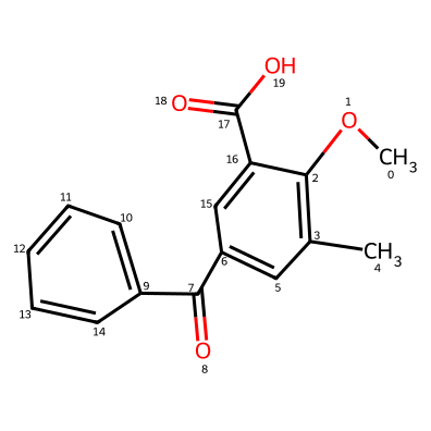 COc1c(C)cc(C(=O)c2ccccc2)cc1C(=O)O